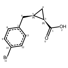 O=C(O)[C@@H]1C[C@@H]1Cc1ccc(Br)cc1